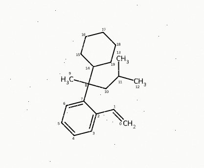 C=Cc1ccccc1C(C)(CC(C)C)C1CCCCC1